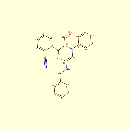 N#Cc1ccccc1C1=CC(NCc2ccccc2)=CN(c2ccccc2)C1C=O